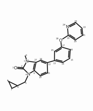 Cn1c(=O)n(CC2CC2)c2ccc(-c3cccc(Oc4ccccn4)c3)cc21